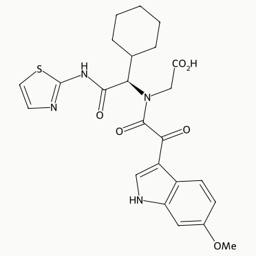 COc1ccc2c(C(=O)C(=O)N(CC(=O)O)[C@@H](C(=O)Nc3nccs3)C3CCCCC3)c[nH]c2c1